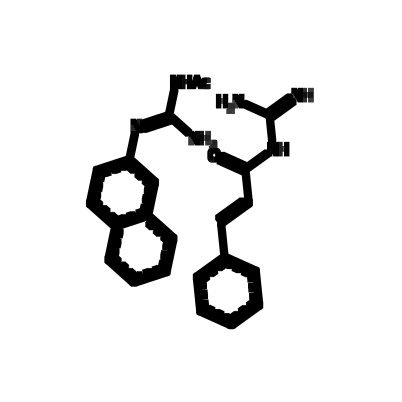 CC(=O)NC(N)=Nc1ccc2ccccc2c1.N=C(N)NC(=O)C=Cc1ccccc1